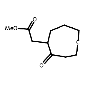 COC(=O)CC1CCCCCCC1=O